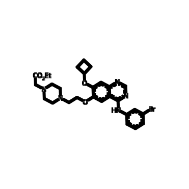 CCOC(=O)CN1CCN(CCOc2cc3c(Nc4cccc(Br)c4)ncnc3cc2OC2CCC2)CC1